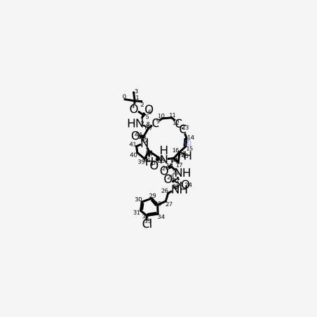 CC(C)(C)OC(=O)N[C@H]1CCCCC/C=C\[C@@H]2C[C@@]2(C(=O)NS(=O)(=O)NCCc2cccc(Cl)c2)NC(=O)[C@@H]2CCCN2C1=O